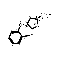 O=C(O)[C@@H]1C[C@@H](Oc2ccccc2F)CN1